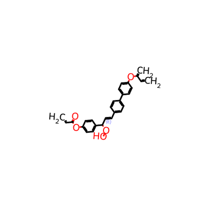 C=CC(=C)Oc1ccc(-c2ccc(/C=C/C(OO)c3ccc(OC(=O)C=C)cc3)cc2)cc1